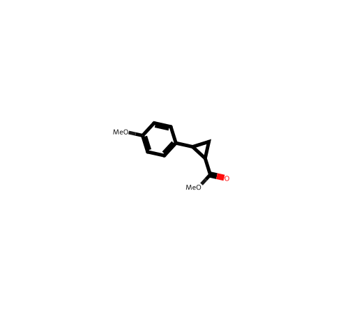 COC(=O)C1CC1c1ccc(OC)cc1